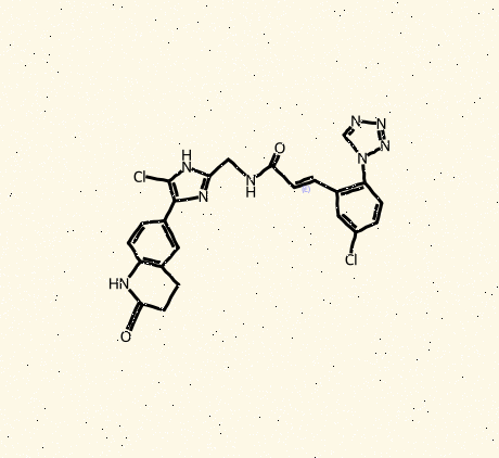 O=C(/C=C/c1cc(Cl)ccc1-n1cnnn1)NCc1nc(-c2ccc3c(c2)CCC(=O)N3)c(Cl)[nH]1